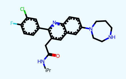 CC(C)NC(=O)Cc1cc2cc(N3CCCNCC3)ccc2nc1-c1ccc(F)c(Cl)c1